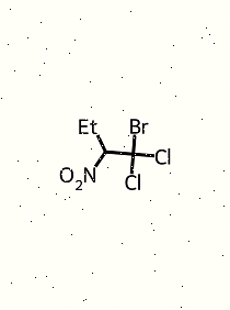 CCC([N+](=O)[O-])C(Cl)(Cl)Br